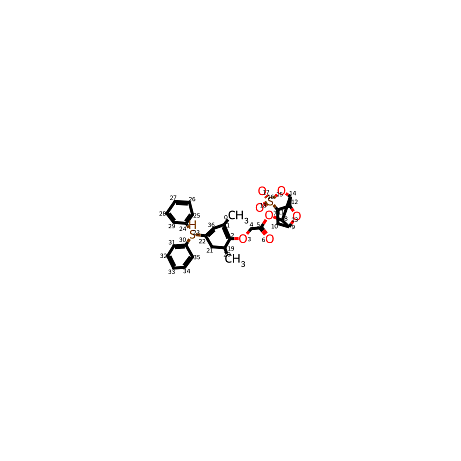 CC1=C(OCC(=O)OC2C3CC4C(O3)C2OS4(=O)=O)C(C)CC([SH](c2ccccc2)c2ccccc2)=C1